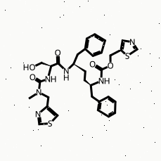 CN(Cc1cscn1)C(=O)N[C@@H](CO)C(=O)N[C@H](CC[C@H](Cc1ccccc1)NC(=O)OCc1cncs1)Cc1ccccc1